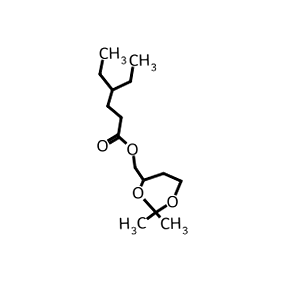 CCC(CC)CCC(=O)OCC1CCOC(C)(C)O1